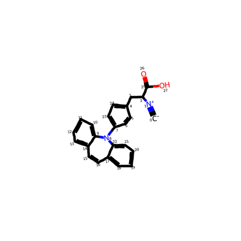 [C-]#[N+]C(Cc1ccc(N2c3ccccc3C=Cc3ccccc32)cc1)C(=O)O